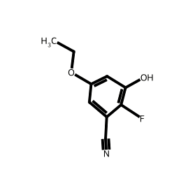 CCOc1cc(O)c(F)c(C#N)c1